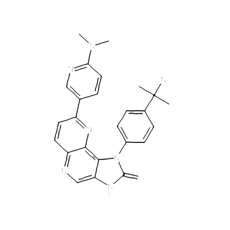 CN(C)c1ccc(-c2ccc3ncc4[nH]c(=O)n(-c5ccc(C(C)(C)N)cc5)c4c3n2)cn1